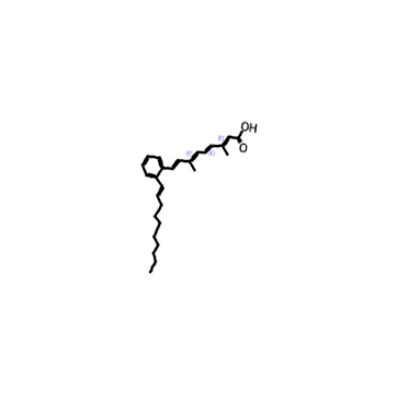 CCCCCCCCC=Cc1ccccc1C=C/C(C)=C/C=C/C(C)=C/C(=O)O